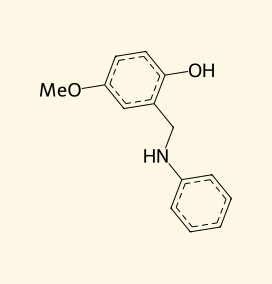 COc1ccc(O)c(CNc2ccccc2)c1